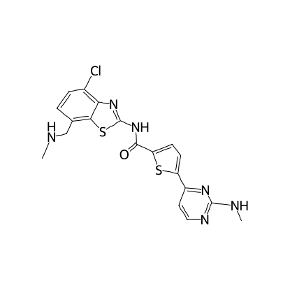 CNCc1ccc(Cl)c2nc(NC(=O)c3ccc(-c4ccnc(NC)n4)s3)sc12